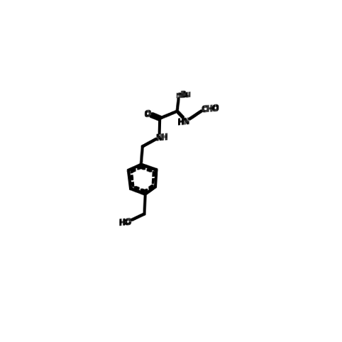 CCCCC(NC=O)C(=O)NCc1ccc(CO)cc1